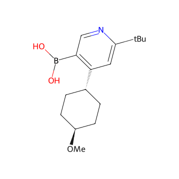 CO[C@H]1CC[C@H](c2cc(C(C)(C)C)ncc2B(O)O)CC1